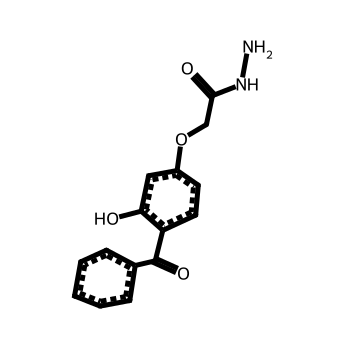 NNC(=O)COc1ccc(C(=O)c2ccccc2)c(O)c1